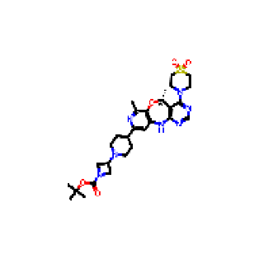 Cc1nc(C2CCN(C3CN(C(=O)OC(C)(C)C)C3)CC2)cc2c1O[C@H](C)c1c(ncnc1N1CCS(=O)(=O)CC1)N2